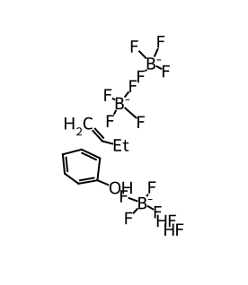 C=CCC.F.F.F[B-](F)(F)F.F[B-](F)(F)F.F[B-](F)(F)F.Oc1ccccc1